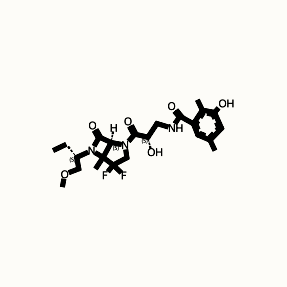 CC[C@@H](COC)N1C(=O)[C@H]2N(C(=O)[C@@H](O)CNC(=O)c3cc(C)cc(O)c3C)CC(F)(F)C21C